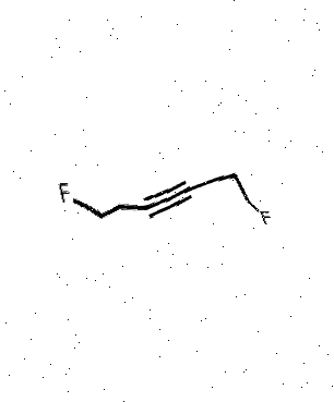 FCC#CCF